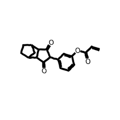 C=CC(=O)Oc1cccc(C2C(=O)C3C4CCC(C4)C3C2=O)c1